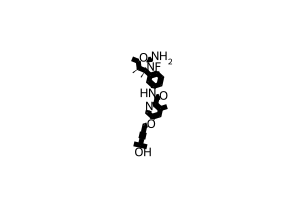 Cc1cc(OCC#CC(C)(C)O)cnc1C(=O)Nc1ccc(F)c([C@]2(C)N=C(N)OC(C)[C@H]2C)c1